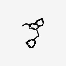 ICc1nn(Cc2ccccc2)c2ccccc12